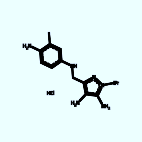 Cc1cc(NCc2nn(C(C)C)c(N)c2N)ccc1N.Cl